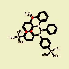 CCCC[Si](CCCC)(CCCC)c1ccc(P(c2ccc([Si](CCCC)(CCCC)CCCC)cc2)N(c2ccccc2)P(c2ccccc2SC(F)(F)F)c2ccccc2SC(F)(F)F)cc1